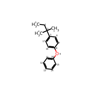 CCC(C)(C)c1c[c]c(Oc2ccccc2)cc1